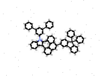 c1ccc(-c2cc(-c3ccccc3)cc(-n3c4ccccc4c4c5cccc6cc(-c7ccc8c(c7)-c7ccccc7C8(c7ccccc7)c7ccccc7)c7cccc(c7c65)c43)c2)cc1